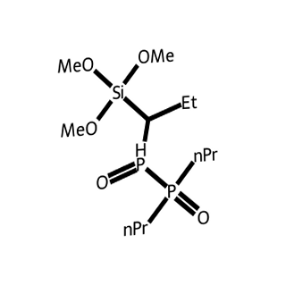 CCCP(=O)(CCC)[PH](=O)C(CC)[Si](OC)(OC)OC